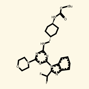 CC(C)(C)OC(=O)N[C@H]1CC[C@H](CNc2nc(N3CCOCC3)nc(-n3c(C(F)F)nc4ccccc43)n2)CC1